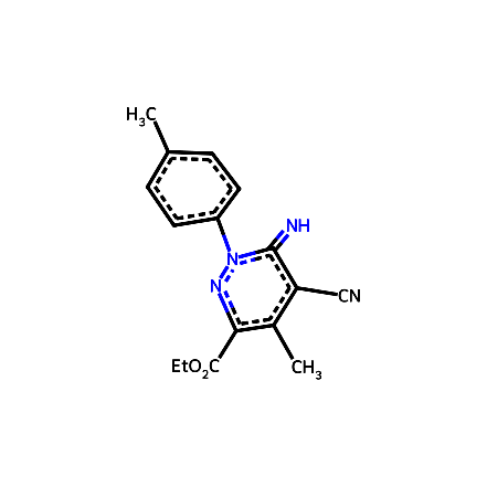 CCOC(=O)c1nn(-c2ccc(C)cc2)c(=N)c(C#N)c1C